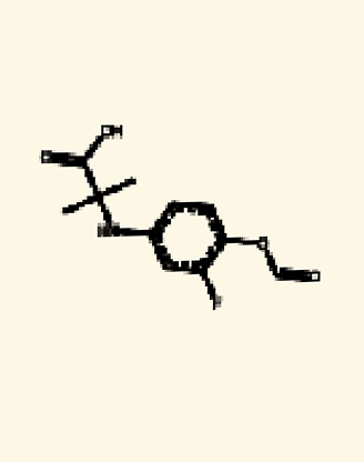 CC(C)(Nc1ccc(OC=O)c(F)c1)C(=O)O